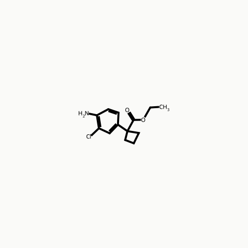 CCOC(=O)C1(c2ccc(N)c(Cl)c2)CCC1